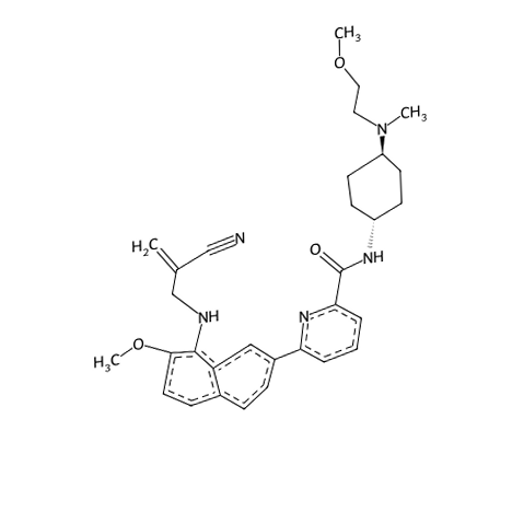 C=C(C#N)CNc1c(OC)ccc2ccc(-c3cccc(C(=O)N[C@H]4CC[C@H](N(C)CCOC)CC4)n3)cc12